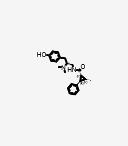 C[C@H]1[C@@H](C(=O)NC[C@H](Cc2ccc(O)cc2)N(C)C)[C@@H]1c1ccccc1